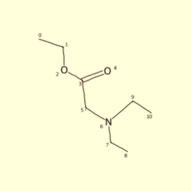 CCOC(=O)[CH]N(CC)CC